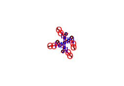 CCOCCOCCN1c2ccc(N(c3ccc(N(c4ccc5c(c4)C4C=CC=CC4N5CCOCCOCC)c4ccc5c(c4)c4ccccc4n5CCOCCOCC)cc3)c3ccc4c(c3)c3ccccc3n4CCOCCOCC)cc2C2C=CC=CC21